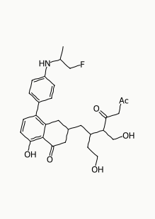 CC(=O)CC(=O)C(CO)C(CCO)CC1CC(=O)c2c(O)ccc(-c3ccc(NC(C)CF)cc3)c2C1